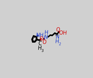 CC(OC(=O)NCCCC[C@H](N)C(=O)O)c1ccccc1N